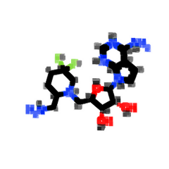 NCC1CCC(F)(F)CN1C[C@H]1O[C@@H](n2ccc3c(N)ncnc32)[C@H](O)[C@@H]1O